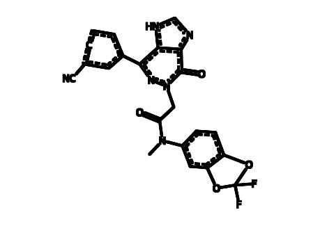 CN(C(=O)Cn1nc(-c2cccc(C#N)c2)c2[nH]cnc2c1=O)c1ccc2c(c1)OC(F)(F)O2